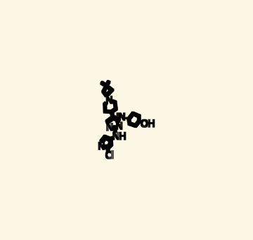 CC1(C)CC(N2CCC(c3cnc(Nc4ccnc(Cl)c4)nc3N[C@H]3CC[C@H](O)CC3)CC2)C1